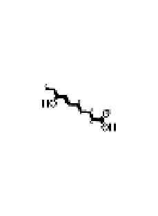 CCC(O)/C=C/CCCCC(=O)O